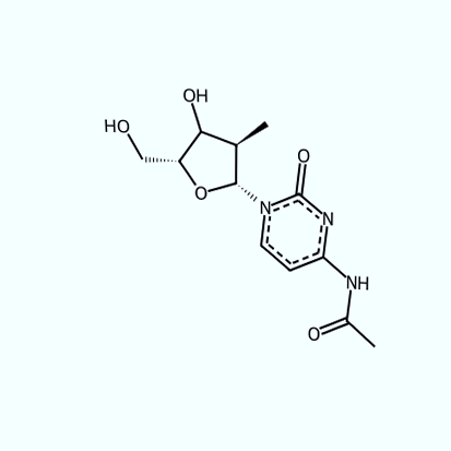 CC(=O)Nc1ccn([C@@H]2O[C@H](CO)C(O)[C@H]2C)c(=O)n1